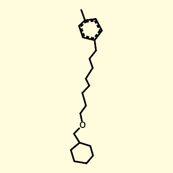 Cc1ccc(CCCCCCCCOCC2CCCCC2)cc1